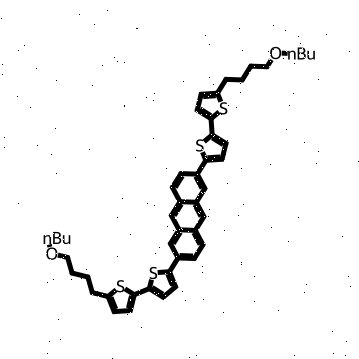 CCCCOCCCCc1ccc(-c2ccc(-c3ccc4cc5cc(-c6ccc(-c7ccc(CCCCOCCCC)s7)s6)ccc5cc4c3)s2)s1